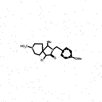 CCC1C(=O)N(Cc2ccc(OC)cc2)C(C(C)(C)C)C12CCN(C(=O)O)CC2